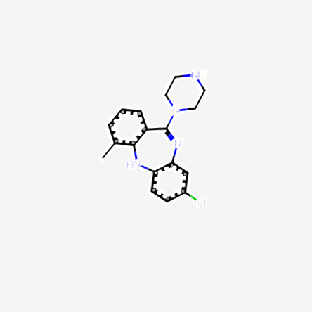 Cc1cccc2c1Nc1ccc(Cl)cc1N=C2N1CCNCC1